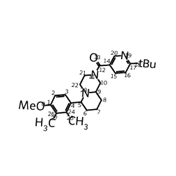 COc1ccc(C2CCCC3CN(C(=O)c4ccc(C(C)(C)C)nc4)CCN32)c(C)c1C